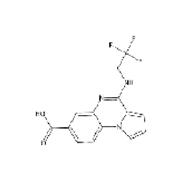 O=C(O)c1ccc2c(c1)nc(NCC(F)(F)F)c1cccn12